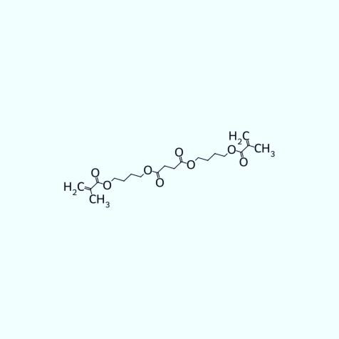 C=C(C)C(=O)OCCCCOC(=O)CCC(=O)OCCCCOC(=O)C(=C)C